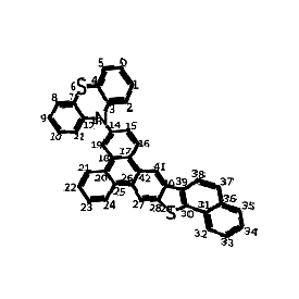 c1ccc2c(c1)Sc1ccccc1N2c1ccc2c(c1)c1ccccc1c1cc3sc4c5ccccc5ccc4c3cc21